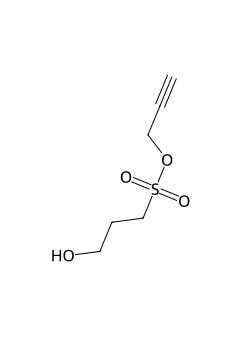 C#CCOS(=O)(=O)CCCO